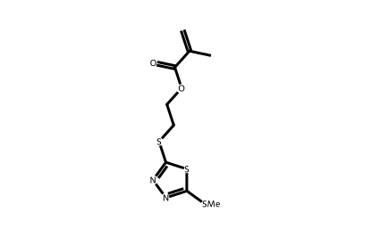 C=C(C)C(=O)OCCSc1nnc(SC)s1